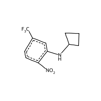 O=[N+]([O-])c1ccc(C(F)(F)F)cc1NC1CCC1